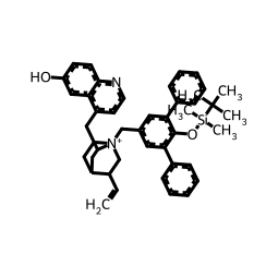 C=CC1C[N+]2(Cc3cc(-c4ccccc4)c(O[Si](C)(C)C(C)(C)C)c(-c4ccccc4)c3)CCC1CC2Cc1ccnc2ccc(O)cc12